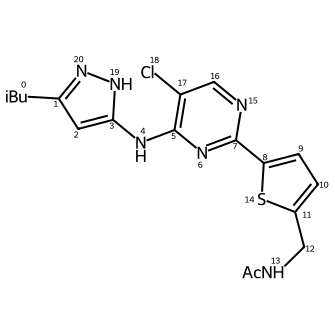 CCC(C)c1cc(Nc2nc(-c3ccc(CNC(C)=O)s3)ncc2Cl)[nH]n1